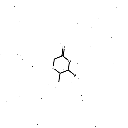 CC1OCC(=O)OC1F